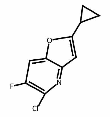 Fc1cc2oc(C3CC3)cc2nc1Cl